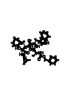 C[C@H](NC(=O)OCc1ccccc1)C(=O)N[C@@H](Cc1c[nH]c2ccccc12)C(=O)N[C@@H](Cc1ccccc1)C(O)C(=O)NC1CC1